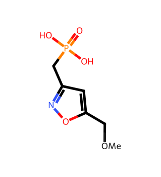 COCc1cc(CP(=O)(O)O)no1